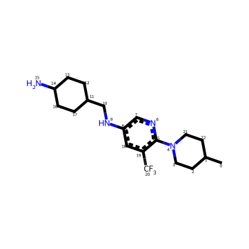 CC1CCN(c2ncc(NCC3CCC(N)CC3)cc2C(F)(F)F)CC1